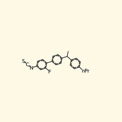 CCCc1ccc(C(C)c2ccc(-c3ccc(N=C=S)cc3F)cc2)cc1